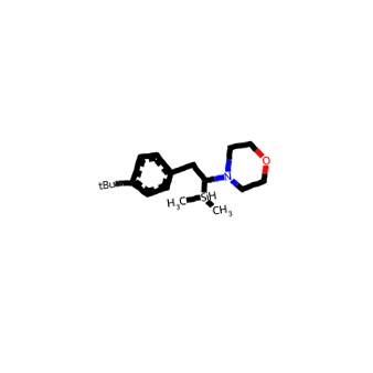 C[SiH](C)C(Cc1ccc(C(C)(C)C)cc1)N1CCOCC1